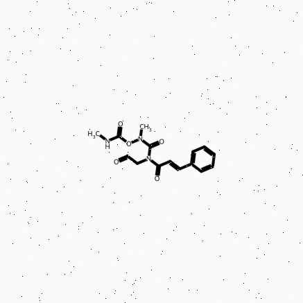 CNC(=O)ON(C)C(=O)N(C[C]=O)C(=O)C=Cc1ccccc1